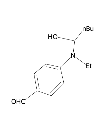 CCCCC(O)N(CC)c1ccc(C=O)cc1